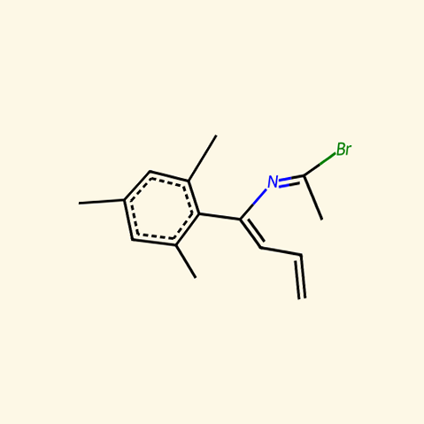 C=C/C=C(\N=C(/C)Br)c1c(C)cc(C)cc1C